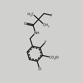 CCOC(=O)c1c(Cl)ccc(CNC(=O)C(C)(C)CF)c1F